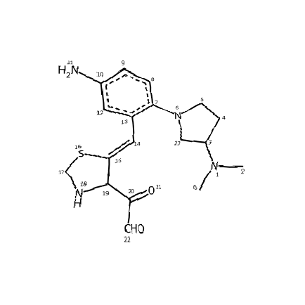 CN(C)C1CCN(c2ccc(N)cc2/C=C2\SCNC2C(=O)C=O)C1